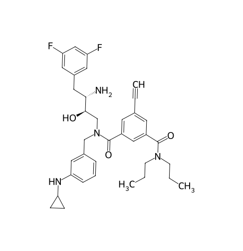 C#Cc1cc(C(=O)N(CCC)CCC)cc(C(=O)N(Cc2cccc(NC3CC3)c2)C[C@@H](O)[C@@H](N)Cc2cc(F)cc(F)c2)c1